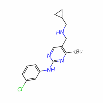 CC(C)(C)c1nc(Nc2cccc(Cl)c2)ncc1CNCC1CC1